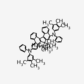 Cc1cc(N(c2ccccc2)c2ccc3c4c(c5ccccc5c3c2)-c2c(cc(N(c3ccccc3)c3cc(C)c(C)c(C)c3)c3ccccc23)C4(C(C)(C)C)C(C)(C)C)cc(C)c1C